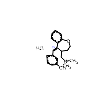 CN(C)CC1CCOc2ccccc2/C1=C/c1cccc(O)c1.Cl